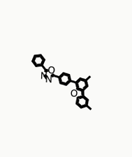 Cc1ccc2oc3c(-c4ccc(-c5nnc(-c6ccccc6)o5)cc4)cc(C)cc3c2c1